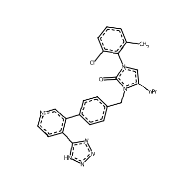 CCCc1cn(-c2c(C)cccc2Cl)c(=O)n1Cc1ccc(-c2cnccc2-c2nnn[nH]2)cc1